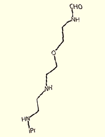 CC(C)NCCNCCOCCNC=O